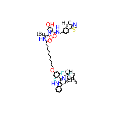 Cc1ncsc1-c1ccc(CNC(=O)[C@@H]2C[C@@H](O)CN2C(=O)[C@@H](NC(=O)CCCCCCCCCCOc2cc(F)c([C@@H]3c4[nH]c5ccccc5c4C[C@@H](C)N3CC(C)(C)F)c(F)c2)C(C)(C)C)cc1